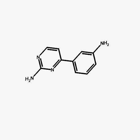 Nc1cccc(-c2ccnc(N)n2)c1